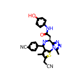 Cc1c(CC#N)sc2c1C(c1ccc(C#N)cc1)=N[C@@H](CC(=O)Nc1ccc(O)cc1)c1nnc(C)n1-2